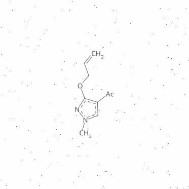 C=CCOc1nn(C)cc1C(C)=O